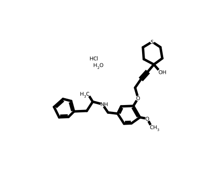 COc1ccc(CNC(C)Cc2ccccc2)cc1OCC#CC1(O)CCSCC1.Cl.O